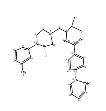 CC(C)C(CN1CCN(c2cccc(O)c2)[C@@H](C)C1)NC(=O)c1ccc(B2C=CC=CN2)cc1